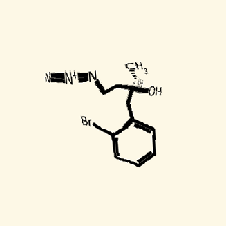 C[C@@](O)(CN=[N+]=[N-])c1ccccc1Br